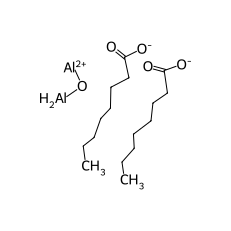 CCCCCCCC(=O)[O-].CCCCCCCC(=O)[O-].[Al+2][O][AlH2]